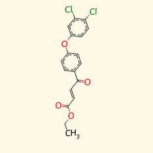 CCOC(=O)C=CC(=O)c1ccc(Oc2ccc(Cl)c(Cl)c2)cc1